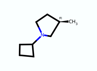 C[C@@H]1CCN(C2CCC2)C1